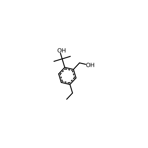 CCc1ccc(C(C)(C)O)c(CO)c1